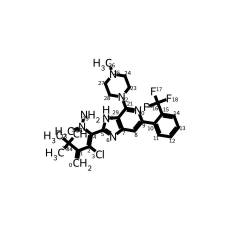 C=C(/C(Cl)=C(/c1nc2cc(-c3ccccc3C(F)(F)F)nc(N3CCN(C)CC3)c2[nH]1)N(C)N)C(C)(C)C